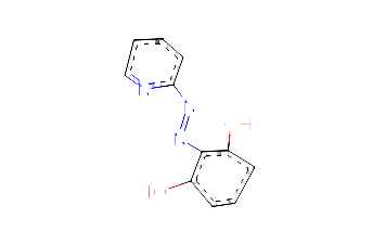 Oc1cccc(O)c1/N=N/c1ccccn1